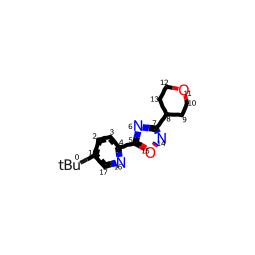 CC(C)(C)c1ccc(-c2nc(C3CCOCC3)no2)nc1